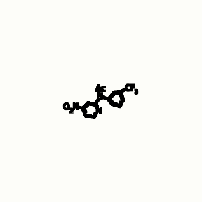 CC(=O)N(c1cccc(C(F)(F)F)c1)c1cc([N+](=O)[O-])ccn1